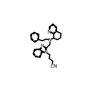 N#CCCCn1c(CN(CCc2ccccc2)C2CCCc3cccnc32)nc2ccccc21